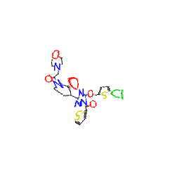 O=C(CN1CCOCC1)N1CCCC(c2nc(OCc3ccc(Cl)s3)n(C(=O)c3cccs3)n2)C1=O